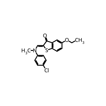 CCOc1ccc2c(c1)C(=O)/C(=C/N(C)c1ccc(Cl)cc1)S2